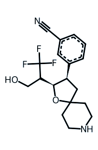 N#Cc1cccc([C@H]2CC3(CCNCC3)O[C@H]2C(CO)C(F)(F)F)c1